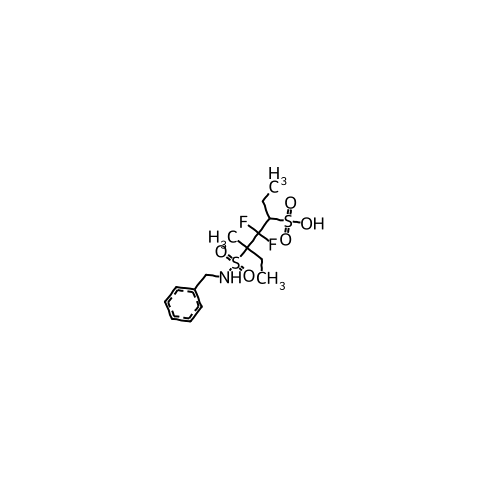 CCC(C(F)(F)C(C)(CC)S(=O)(=O)NCc1ccccc1)S(=O)(=O)O